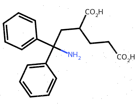 NC(CC(CCC(=O)O)C(=O)O)(c1ccccc1)c1ccccc1